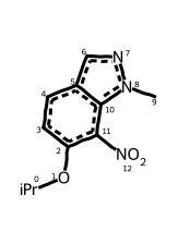 CC(C)Oc1ccc2cnn(C)c2c1[N+](=O)[O-]